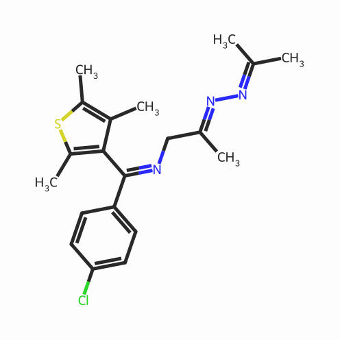 CC(C)=N/N=C(\C)C/N=C(/c1ccc(Cl)cc1)c1c(C)sc(C)c1C